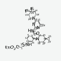 CCOC(=O)CSNc1ccc(C(=O)Nc2nc(C)cc(N3CCC(F)(F)CC3)n2)c(N2CCC3(CC2)CC3)c1